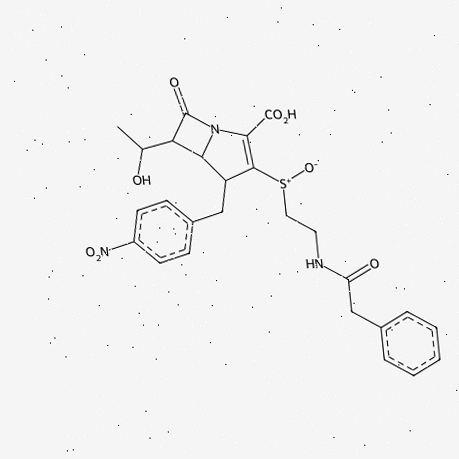 CC(O)C1C(=O)N2C(C(=O)O)=C([S+]([O-])CCNC(=O)Cc3ccccc3)C(Cc3ccc([N+](=O)[O-])cc3)C12